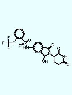 O=C1CCC(N2C(=O)c3ccc(NS(=O)(=O)c4ccccc4OC(F)(F)F)cc3C2O)C(=O)N1